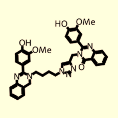 COc1cc(C2=Nc3ccccc3CN2CCCCn2cc(Cn3c(-c4ccc(O)c(OC)c4)nc4ccccc4c3=O)nn2)ccc1O